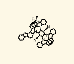 N#Cc1c(-n2c3ccccc3c3ccccc32)c(-n2c3ccccc3c3ccccc32)c(C#N)c(-n2c3cc(C(F)(F)F)ccc3c3c4sc5ccccc5c4ccc32)c1-n1c2ccccc2c2ccccc21